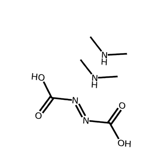 CNC.CNC.O=C(O)N=NC(=O)O